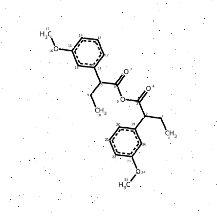 CCC(C(=O)OC(=O)C(CC)c1cccc(OC)c1)c1cccc(OC)c1